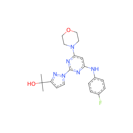 CC(C)(O)c1ccn(-c2nc(Nc3ccc(F)cc3)cc(N3CCOCC3)n2)n1